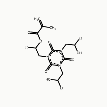 C=C(C)C(=O)OC(CC)Cn1c(=O)n(CC(O)CC)c(=O)n(CC(O)CC)c1=O